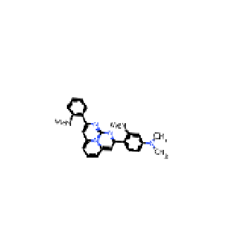 CNc1ccccc1C1=CC2=CC=CC3=CC(c4ccc(N(C)C)cc4NC)=NC(=N1)N23